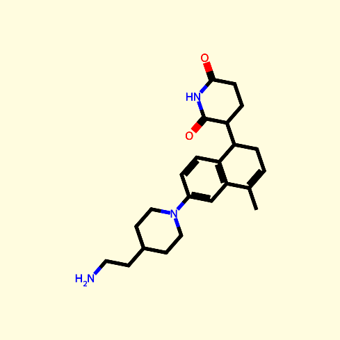 CC1=CCC(C2CCC(=O)NC2=O)c2ccc(N3CCC(CCN)CC3)cc21